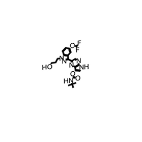 CC(C)(C)NC(=O)Oc1c[nH]c2ncc(-c3nn(CCCO)c4ccc(OC(F)F)cc34)nc12